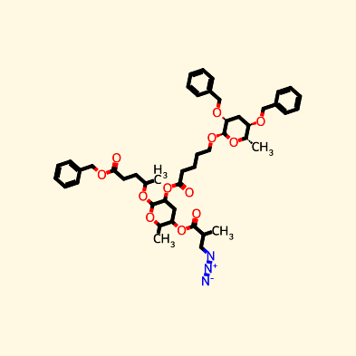 CC(CCC(=O)OCc1ccccc1)OC1OC(C)C(OC(=O)C(C)CN=[N+]=[N-])CC1OC(=O)CCCCO[C@@H]1O[C@@H](C)[C@H](OCc2ccccc2)C[C@H]1OCc1ccccc1